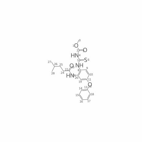 COC(=O)NC(=S)Nc1ccc(Oc2ccccc2)cc1NC(=O)CCC(C)C